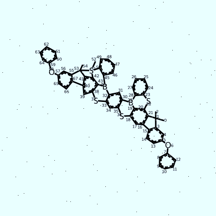 CC1(C)c2cc(Oc3ccccc3)ccc2-c2cc3c4c(c21)Sc1ccccc1B4c1cc2c(cc1S3)Sc1cc3c4c5c1B2c1ccccc1S5(C)C4(C)c1cc(Oc2ccccc2)ccc1-3